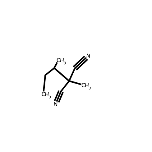 CCC(C)C(C)(C#N)C#N